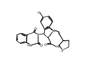 O=C(O)C1C(n2c(=O)[nH]c3ccccc3c2=O)c2cc(Cl)ccc2N1CC1CCNC1